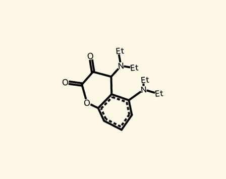 CCN(CC)c1cccc2c1C(N(CC)CC)C(=O)C(=O)O2